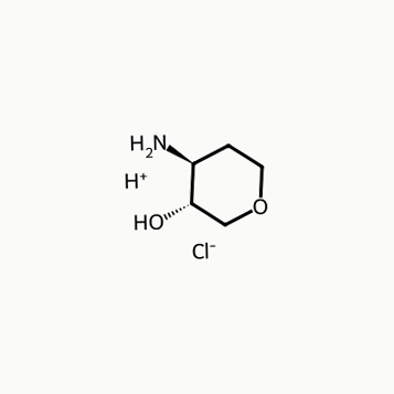 N[C@H]1CCOC[C@@H]1O.[Cl-].[H+]